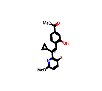 COC(=O)c1ccc(/C=C(/c2nc(OC)ccc2Br)C2CC2)c(O)c1